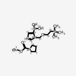 CC(C)(C)OC(=O)N1CCC[C@H]1c1ncc(B(O)O)n1COCC[Si](C)(C)C